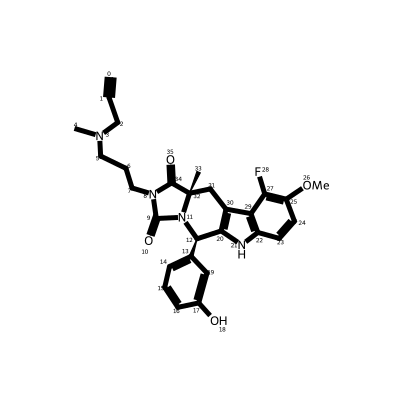 C#CCN(C)CCCN1C(=O)N2[C@H](c3cccc(O)c3)c3[nH]c4ccc(OC)c(F)c4c3C[C@@]2(C)C1=O